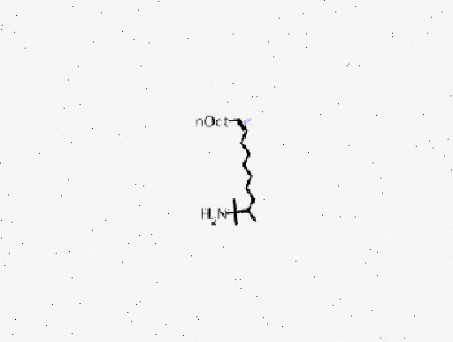 CCCCCCCC/C=C\CCCCCCC(C)C(C)(C)N